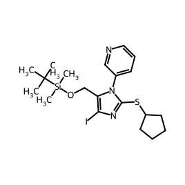 CC(C)(C)[Si](C)(C)OCc1c(I)nc(SC2CCCC2)n1-c1cccnc1